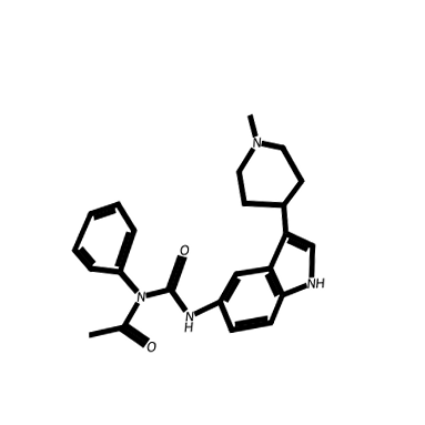 CC(=O)N(C(=O)Nc1ccc2[nH]cc(C3CCN(C)CC3)c2c1)c1ccccc1